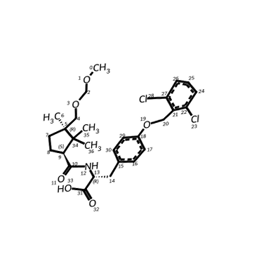 COCOC[C@]1(C)CC[C@H](C(=O)N[C@H](Cc2ccc(OCc3c(Cl)cccc3Cl)cc2)C(=O)O)C1(C)C